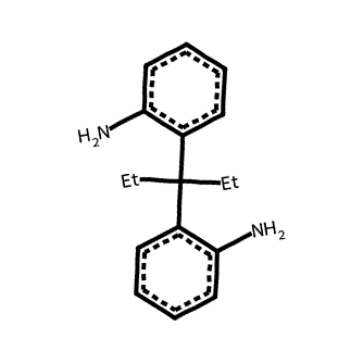 CCC(CC)(c1ccccc1N)c1ccccc1N